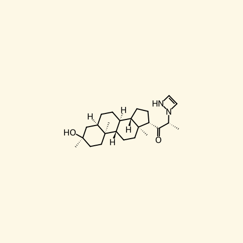 C[C@H](C(=O)[C@H]1CC[C@H]2[C@@H]3CC[C@@H]4C[C@](C)(O)CC[C@]4(C)[C@H]3CC[C@]12C)n1cc[nH]1